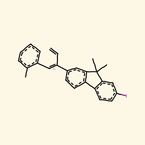 C=C/C(=C\c1ccccc1C)c1ccc2c(c1)C(C)(C)c1cc(I)ccc1-2